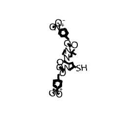 CC1(C)CN(C(=O)C2CC(S)CN2C(=O)OCc2ccc([N+](=O)[O-])cc2)CCN1C(=O)OCc1ccc([N+](=O)[O-])cc1